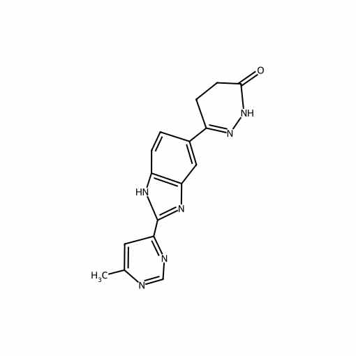 Cc1cc(-c2nc3cc(C4=NNC(=O)CC4)ccc3[nH]2)ncn1